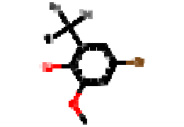 [2H]C([2H])([2H])c1cc(Br)cc(OC)c1O